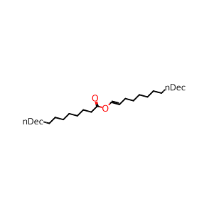 CCCCCCCCCCCCCCCC/C=C/OC(=O)CCCCCCCCCCCCCCCCC